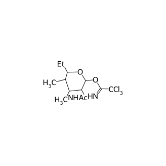 CCC1OC(OC(=N)C(Cl)(Cl)Cl)C(NC(C)=O)C(C)C1C